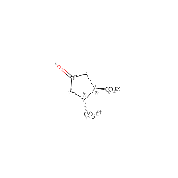 CCOC(=O)[C@@H]1CC(=O)C[C@H]1C(=O)OCC